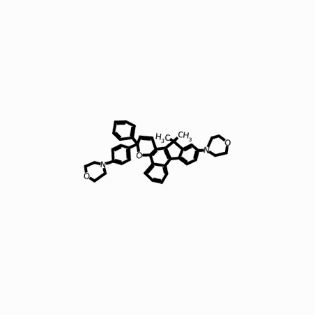 CC1(C)c2cc(N3CCOCC3)ccc2-c2c1c1c(c3ccccc23)OC(c2ccccc2)(c2ccc(N3CCOCC3)cc2)C=C1